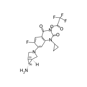 N[C@@H]1C2CN(c3cc4c(cc3F)c(=O)n(OC(=O)C(F)(F)F)c(=O)n4C3CC3)C[C@H]21